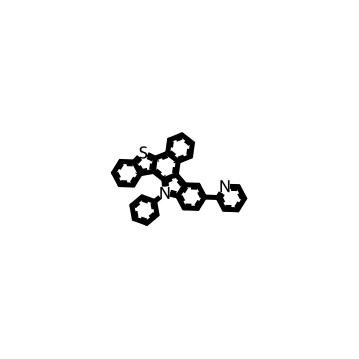 c1ccc(-n2c3ccc(-c4ccccn4)cc3c3c4ccccc4c4sc5ccccc5c4c32)cc1